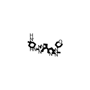 CNC1(C)CCC(Nc2ncc3c(-c4cnc5nc(C)n(C6CCOCC6)c5c4)ccn3n2)CC1